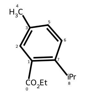 CCOC(=O)c1cc(C)ccc1C(C)C